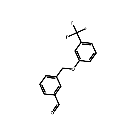 O=Cc1cccc(COc2cccc(C(F)(F)F)c2)c1